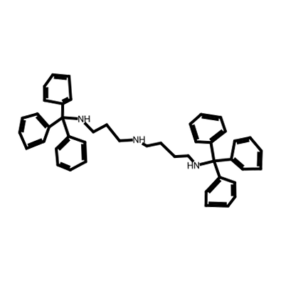 c1ccc(C(NCCCCNCCCNC(c2ccccc2)(c2ccccc2)c2ccccc2)(c2ccccc2)c2ccccc2)cc1